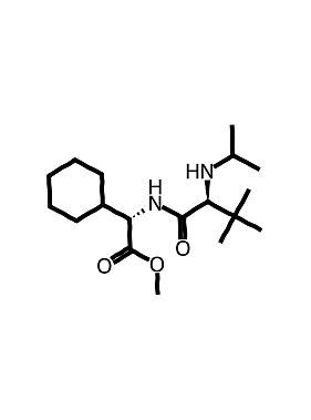 COC(=O)[C@@H](NC(=O)[C@@H](NC(C)C)C(C)(C)C)C1CCCCC1